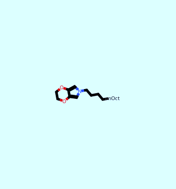 CCCCCCCCCCCCn1cc2c(c1)OCCO2